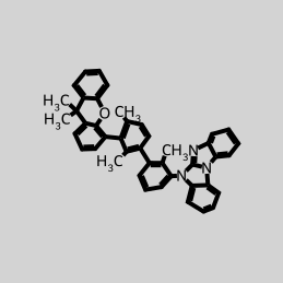 Cc1ccc(-c2cccc(-n3c4ccccc4n4c5ccccc5nc34)c2C)c(C)c1-c1cccc2c1Oc1ccccc1C2(C)C